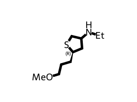 CCNC1CS[C@H](CCCOC)C1